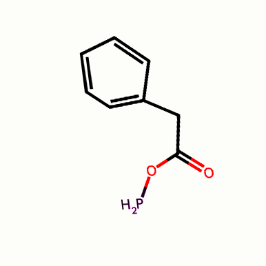 O=C(Cc1ccccc1)OP